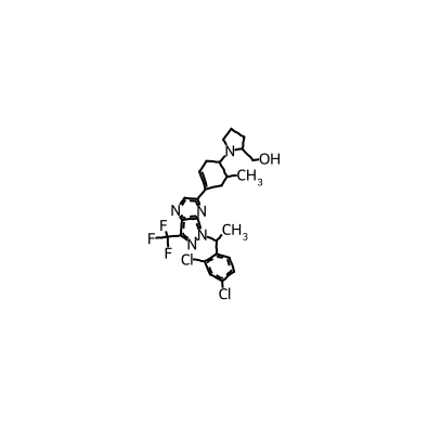 CC1CC(c2cnc3c(C(F)(F)F)nn(C(C)c4ccc(Cl)cc4Cl)c3n2)=CCC1N1CCCC1CO